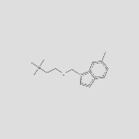 Cc1ccc2ccn(COCC[Si](C)(C)C)c2c1